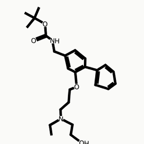 CCN(CCO)CCCOc1cc(CNC(=O)OC(C)(C)C)ccc1-c1ccccc1